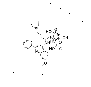 CCN(CC)CCCC(C)Nc1cc(-c2ccccc2)nc2cc(OC)ccc12.O=P(O)(O)OP(=O)(O)OP(=O)(O)O